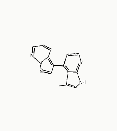 Cc1c[nH]c2nccc(-c3cnn4ncccc34)c12